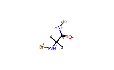 CC(C)(NBr)C(=O)NBr